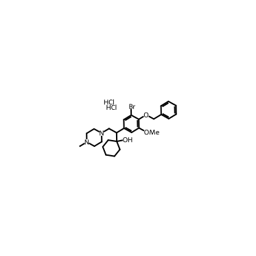 COc1cc(C(CN2CCN(C)CC2)C2(O)CCCCC2)cc(Br)c1OCc1ccccc1.Cl.Cl